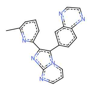 Cc1cccc(-c2nc3ncccn3c2-c2ccc3nccnc3c2)n1